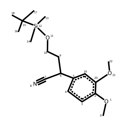 COc1ccc(C(C#N)CCO[Si](C)(C)C(C)(C)C)cc1OC